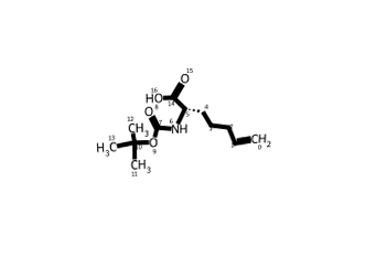 C=CCCC[C@H](NC(=O)OC(C)(C)C)C(=O)O